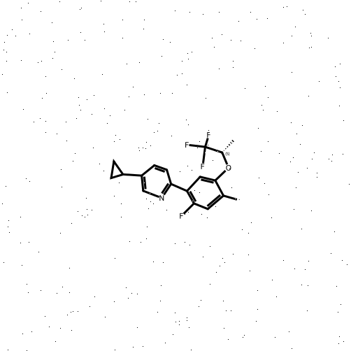 [CH2]c1cc(F)c(-c2ccc(C3CC3)cn2)cc1O[C@@H](C)C(F)(F)F